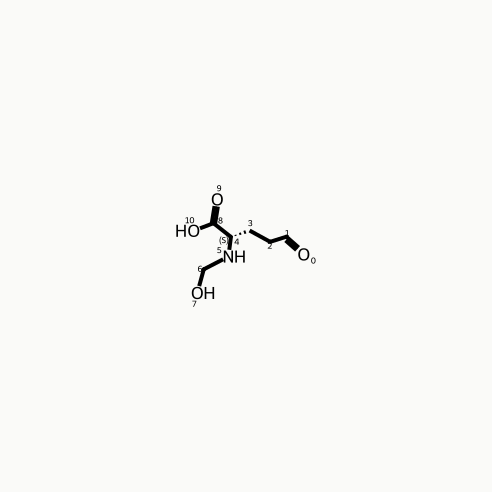 O=CCC[C@H](NCO)C(=O)O